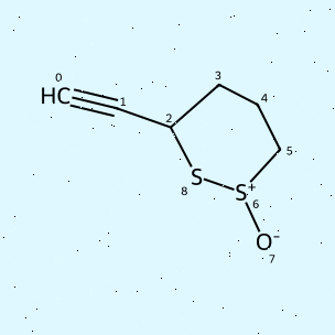 C#CC1CCC[S+]([O-])S1